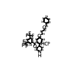 Cl.FC(F)(F)c1cc(COC2CNCCC2c2ccc(OCCCOCc3ccccc3)cc2)cc(C(F)(F)F)c1